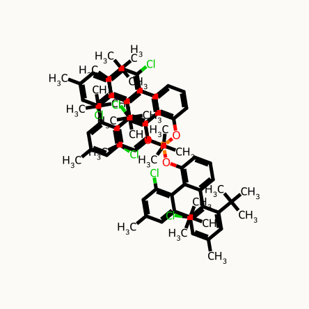 Cc1cc(Cl)c(-c2cccc(OP(Oc3cccc(-c4c(Cl)cc(C)cc4C(C)(C)C)c3-c3c(Cl)cc(C)cc3C(C)(C)C)Oc3cccc(-c4c(Cl)cc(C)cc4C(C)(C)C)c3-c3c(Cl)cc(C)cc3C(C)(C)C)c2-c2c(Cl)cc(C)cc2C(C)(C)C)c(C(C)(C)C)c1